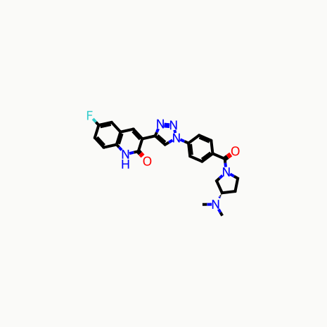 CN(C)[C@H]1CCN(C(=O)c2ccc(-n3cc(-c4cc5cc(F)ccc5[nH]c4=O)nn3)cc2)C1